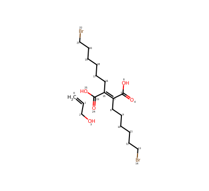 C=CCO.O=C(O)C(CCCCCCBr)=C(CCCCCCBr)C(=O)O